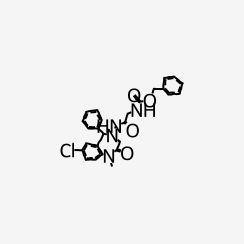 CN1C(=O)CN(NC(=O)CNC(=O)OCc2ccccc2)C(c2ccccc2)c2cc(Cl)ccc21